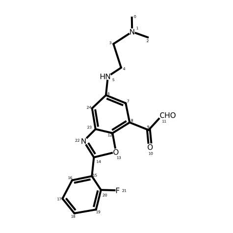 CN(C)CCNc1cc(C(=O)C=O)c2oc(-c3ccccc3F)nc2c1